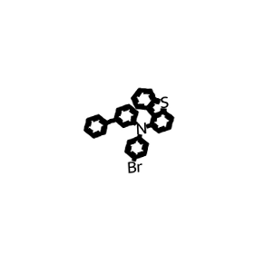 Brc1ccc(N(c2cccc(-c3ccccc3)c2)c2cccc3sc4ccccc4c23)cc1